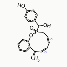 C=C1/C=C\C=C/CP(=O)(C(O)c2ccc(O)cc2)Oc2ccccc21